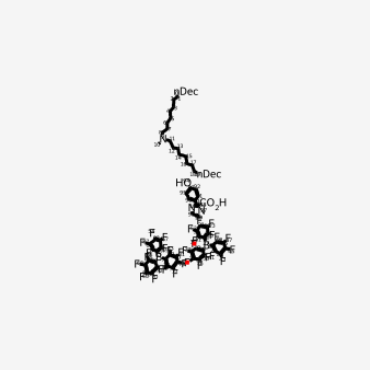 CCCCCCCCCCCCCCCCCCN(C)CCCCCCCCCCCCCCCCCC.Fc1c(F)c(F)c(B(c2c(F)c(F)c(F)c(F)c2F)c2c(F)c(F)c(F)c(F)c2F)c(F)c1F.Fc1c(F)c(F)c(B(c2c(F)c(F)c(F)c(F)c2F)c2c(F)c(F)c(F)c(F)c2F)c(F)c1F.O=C(O)C1(c2ccc(O)cc2)N=CC=N1